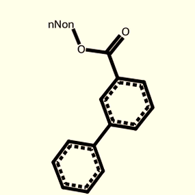 CCCCCCCCCOC(=O)c1cccc(-c2ccccc2)c1